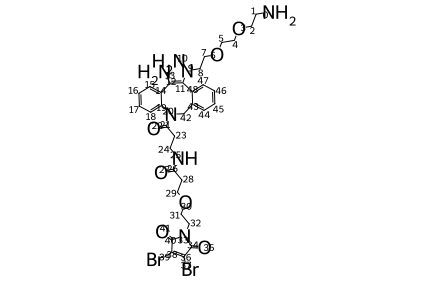 NCCOCCOCCN(N)/C1=C(\N)c2ccccc2N(C(=O)CCNC(=O)CCOCCN2C(=O)C(Br)=C(Br)C2=O)Cc2ccccc21